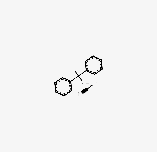 CC(C)(c1ccccc1)c1ccccc1.N#CO